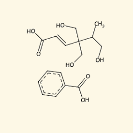 CC(CO)C(C=CC(=O)O)(CO)CO.O=C(O)c1ccccc1